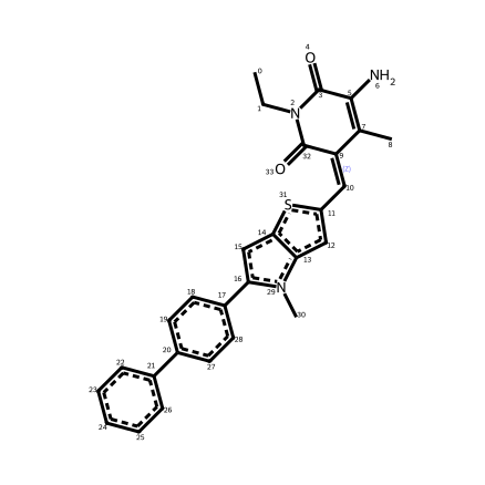 CCN1C(=O)C(N)=C(C)/C(=C/c2cc3c(cc(-c4ccc(-c5ccccc5)cc4)n3C)s2)C1=O